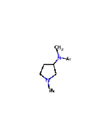 CC(=O)N(C)C1CCN(C(C)(C)C)C1